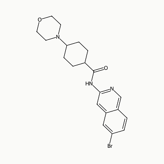 O=C(Nc1cc2cc(Br)ccc2cn1)C1CCC(N2CCOCC2)CC1